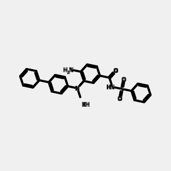 CN(c1ccc(-c2ccccc2)cc1)c1cc(C(=O)NS(=O)(=O)c2ccccc2)ccc1N.[KH]